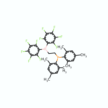 Cc1cc(C)c(P(CCB(c2c(F)c(F)c(F)c(F)c2F)c2c(F)c(F)c(F)c(F)c2F)c2c(C)cc(C)cc2C)c(C)c1